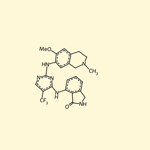 COc1cc2c(cc1Nc1ncc(C(F)(F)F)c(Nc3cccc4c3C(=O)NC4)n1)CN(C)CC2